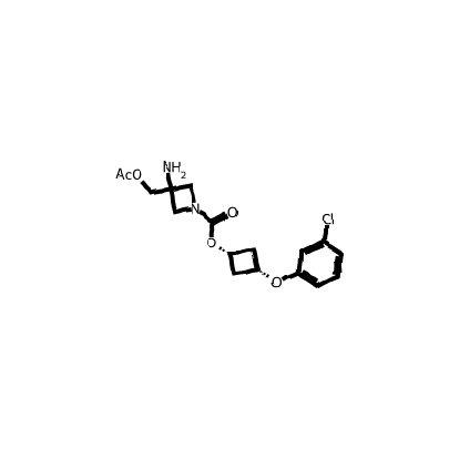 CC(=O)OCC1(N)CN(C(=O)O[C@H]2C[C@@H](Oc3cccc(Cl)c3)C2)C1